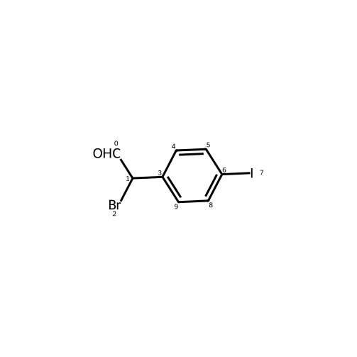 O=CC(Br)c1ccc(I)cc1